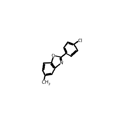 Cc1ccc2oc(-c3ccc(Cl)cc3)nc2c1